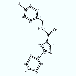 Cc1ccc(CNC(=O)c2ccc(-c3ccncc3)s2)cc1